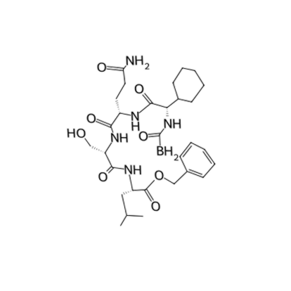 BC(=O)N[C@H](C(=O)N[C@@H](CCC(N)=O)C(=O)N[C@@H](CO)C(=O)N[C@@H](CC(C)C)C(=O)OCc1ccccc1)C1CCCCC1